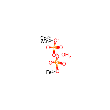 O.O=P([O-])([O-])[O-].O=P([O-])([O-])[O-].[Co+2].[Fe+2].[Mn+2]